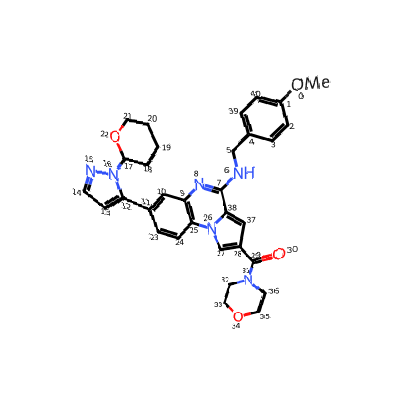 COc1ccc(CNc2nc3cc(-c4ccnn4C4CCCCO4)ccc3n3cc(C(=O)N4CCOCC4)cc23)cc1